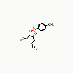 Cc1ccc(S(=O)(=O)OC(CCC(F)(F)F)CCC(F)(F)F)cc1